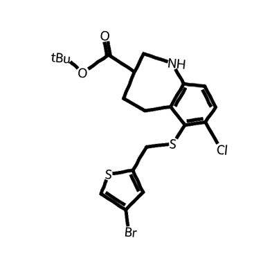 CC(C)(C)OC(=O)C1CCc2c(ccc(Cl)c2SCc2cc(Br)cs2)NC1